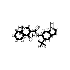 CC(C)(C)c1cc2cc[nH]c2cc1NC(=O)c1c[nH]c2ccccc2c1=O